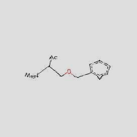 CNC(COCc1ccccc1)C(C)=O